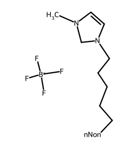 CCCCCCCCCCCCCCN1C=CN(C)C1.F[B-](F)(F)F